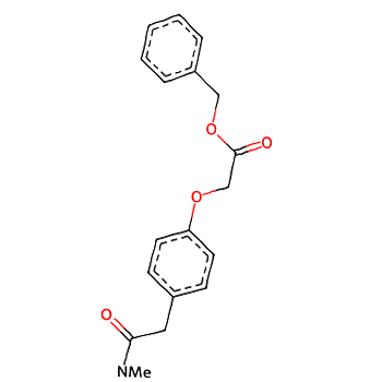 CNC(=O)Cc1ccc(OCC(=O)OCc2ccccc2)cc1